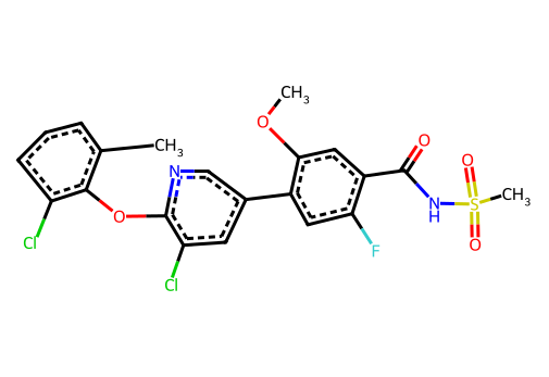 COc1cc(C(=O)NS(C)(=O)=O)c(F)cc1-c1cnc(Oc2c(C)cccc2Cl)c(Cl)c1